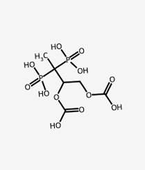 CC(C(COC(=O)O)OC(=O)O)(P(=O)(O)O)P(=O)(O)O